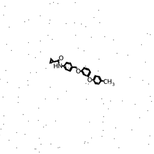 Cc1ccc(Oc2cccc(OCc3ccc(NC(=O)C4CC4)cc3)c2)cc1